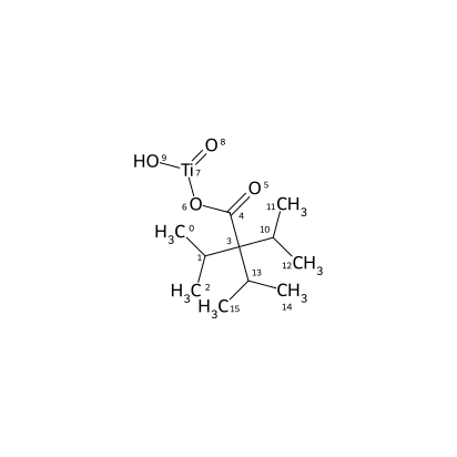 CC(C)C(C(=O)[O][Ti](=[O])[OH])(C(C)C)C(C)C